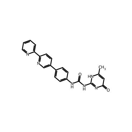 Cc1cc(=O)nc(NC(=O)Nc2ccc(-c3ccc(-c4ccccn4)nc3)cc2)[nH]1